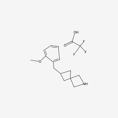 COc1ccccc1CC1CC2(CNC2)C1.O=C(O)C(F)(F)F